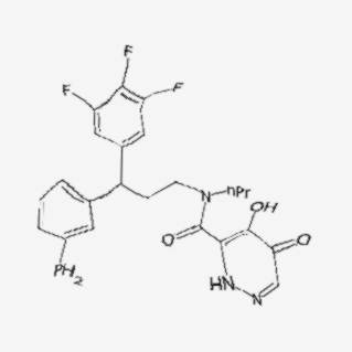 CCCN(CCC(c1cccc(P)c1)c1cc(F)c(F)c(F)c1)C(=O)c1[nH]ncc(=O)c1O